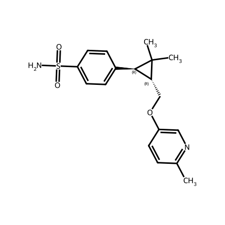 Cc1ccc(OC[C@@H]2[C@@H](c3ccc(S(N)(=O)=O)cc3)C2(C)C)cn1